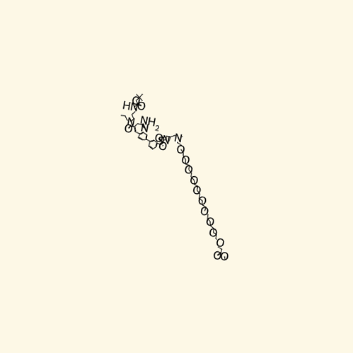 CCCN(CCCNC(=O)OC(C)(C)C)C(=O)C1=Cc2ccc(-c3cccc(S(=O)(=O)N4CC(CN(C)CCOCCOCCOCCOCCOCCOCCOCCOCCOCCOCCC(=O)OC)C4)c3)cc2N=C(N)C1